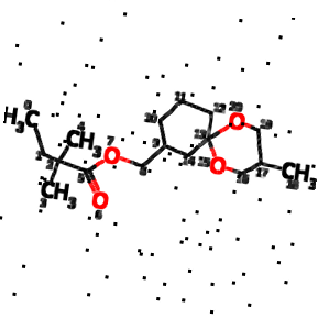 CCC(C)(C)C(=O)OCC1CCCC2(C1)OCC(C)CO2